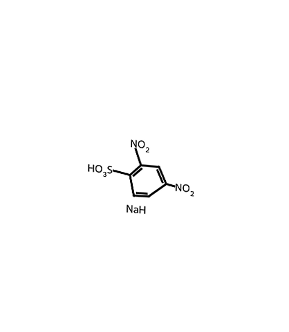 O=[N+]([O-])c1ccc(S(=O)(=O)O)c([N+](=O)[O-])c1.[NaH]